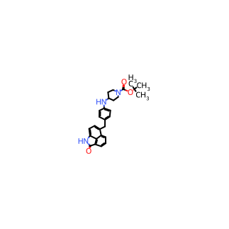 CC(C)(C)OC(=O)N1CCC(Nc2ccc(Cc3ccc4c5c(cccc35)C(=O)N4)cc2)CC1